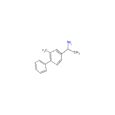 CC(N)c1ccc(-c2ccccc2)c(C(F)(F)F)c1